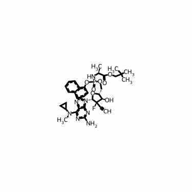 C#C[C@@]1(F)[C@H](O)[C@@H](CO[P@@](=O)(N[C@@H](C)C(=O)OCC(C)(C)C)Oc2cccc3ccccc23)O[C@H]1n1cnc2c(N(C)C3CC3)nc(N)nc21